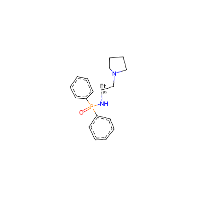 CC[C@H](CN1CCCC1)NP(=O)(c1ccccc1)c1ccccc1